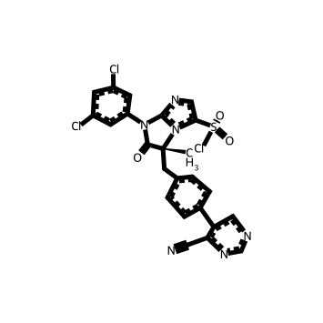 C[C@@]1(Cc2ccc(-c3cncnc3C#N)cc2)C(=O)N(c2cc(Cl)cc(Cl)c2)c2ncc(S(=O)(=O)Cl)n21